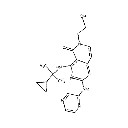 CC(C)(Nc1nc(Nc2cnccn2)cc2ccn(CCO)c(=O)c12)C1CC1